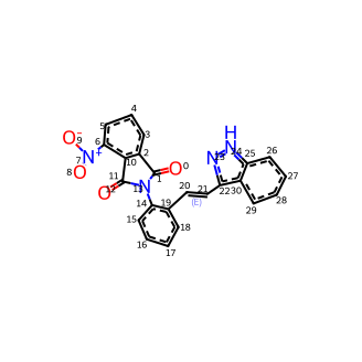 O=C1c2cccc([N+](=O)[O-])c2C(=O)N1c1ccccc1/C=C/c1n[nH]c2ccccc12